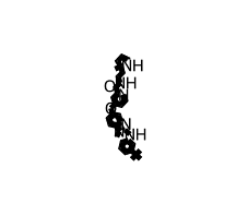 Cn1c(Nc2cccc(C(C)(C)C)c2)nc2cc(Oc3ccnc(C(=O)NCCC4(C)CCCN4)c3)ccc21